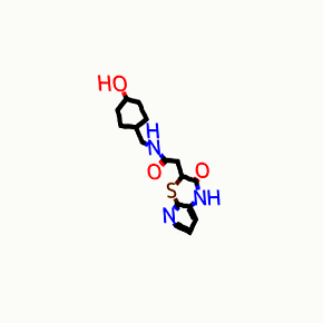 O=C(CC1Sc2ncccc2NC1=O)NCC1CCC(O)CC1